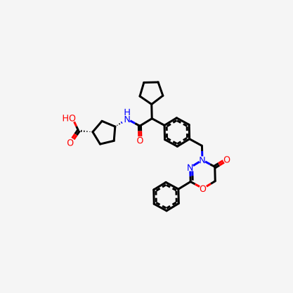 O=C(N[C@@H]1CC[C@H](C(=O)O)C1)C(c1ccc(CN2N=C(c3ccccc3)OCC2=O)cc1)C1CCCC1